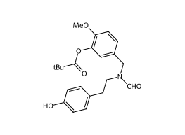 COc1ccc(CN(C=O)CCc2ccc(O)cc2)cc1OC(=O)C(C)(C)C